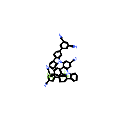 N#Cc1cc(C#N)cc(-c2ccc3c4ccccc4n(-c4cc(C#N)cc(-n5c6ccccc6c6ccc(-c7cc(C#N)cc(C#N)c7)cc65)c4-c4ccc(C(F)(F)F)cc4C(F)(F)F)c3c2)c1